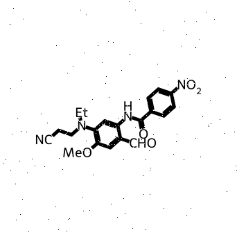 CCN(CCC#N)c1cc(NC(=O)c2ccc([N+](=O)[O-])cc2)c(C=O)cc1OC